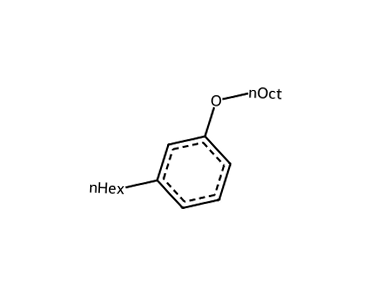 CCCCCCCCOc1cccc(CCCCCC)c1